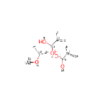 C=C(C)C(=O)O.C=C(C)C(=O)O.CC(C)[O][Al]